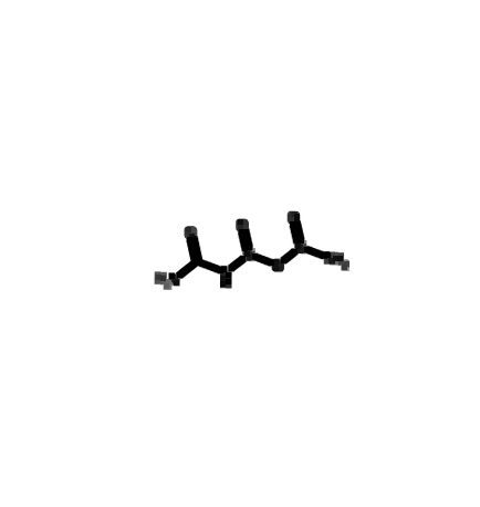 NC(=O)N[Si](=O)O[Si](N)=O